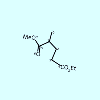 [CH2]C(CCC(=O)OCC)C(=O)OC